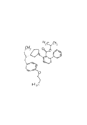 CCCOc1ccc(CN(CC)[C@@H]2CCN(c3nccc(-c4ccccc4)c3C(=O)OC(C)C)C2)cc1